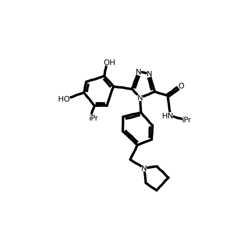 CC(C)NC(=O)c1nnc(-c2cc(C(C)C)c(O)cc2O)n1-c1ccc(CN2CCCC2)cc1